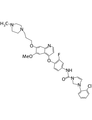 COc1cc2c(Oc3ccc(NC(=O)N4C=CN(c5ccccc5Cl)C4)cc3F)ccnc2cc1OCCCN1CCN(C)CC1